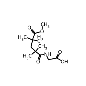 COC(=O)C(C)(C)CC(C)(C)C(=O)NCC(=O)O